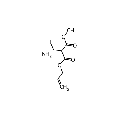 C=CCOC(=O)C(CI)C(=O)OC.N